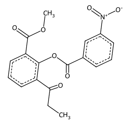 CCC(=O)c1cccc(C(=O)OC)c1OC(=O)c1cccc([N+](=O)[O-])c1